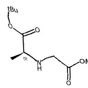 COC(=O)CN[C@@H](C)C(=O)OC(C)(C)C